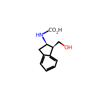 O=C(O)N[C@@H]1Cc2ccccc2[C@@H]1CO